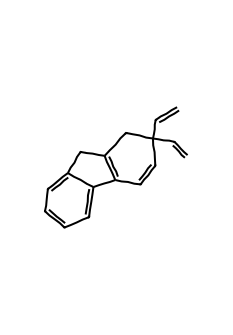 C=CC1(C=C)C=CC2=C(Cc3ccccc32)C1